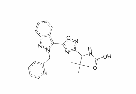 CC(C)(C)C(NC(=O)O)c1noc(-c2c3ccccc3nn2Cc2ccccn2)n1